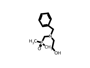 CP(C)(=O)CN(CCO)Cc1ccccc1